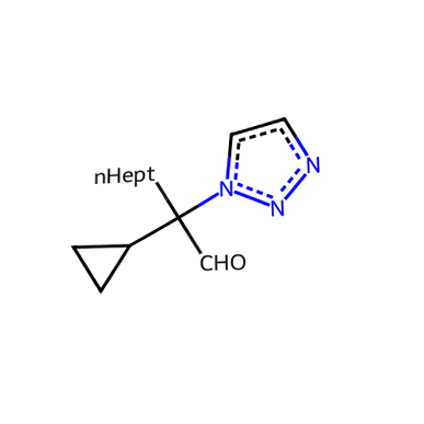 CCCCCCCC(C=O)(C1CC1)n1ccnn1